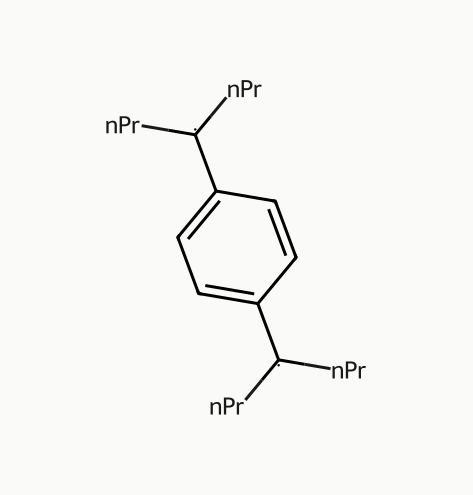 CCC[C](CCC)c1ccc([C](CCC)CCC)cc1